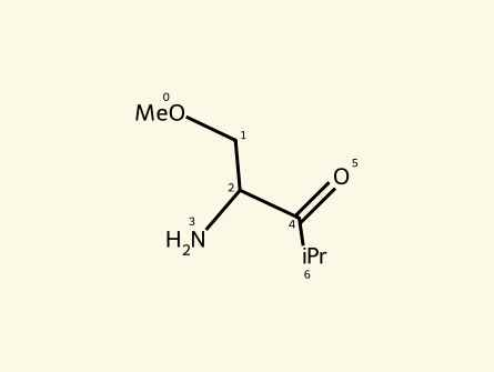 COCC(N)C(=O)C(C)C